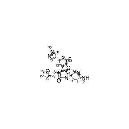 CNc1ccc(-c2nc(=O)n(CCC3CCCO3)c3c2oc2c(F)cc(-c4cnn(C)c4)cc23)cn1